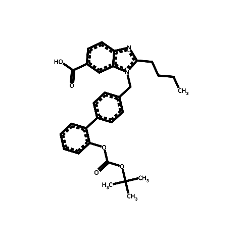 CCCCc1nc2ccc(C(=O)O)cc2n1Cc1ccc(-c2ccccc2OC(=O)OC(C)(C)C)cc1